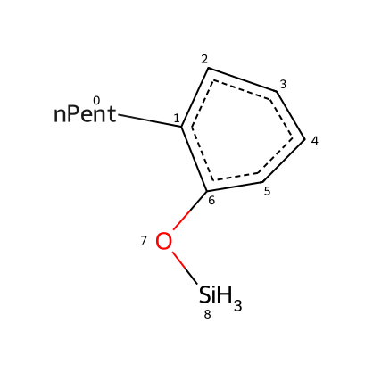 CCCCCc1ccccc1O[SiH3]